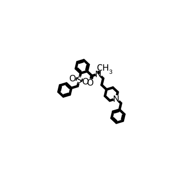 CN(CCC1CCN(Cc2ccccc2)CC1)C(=O)c1ccccc1S(=O)(=O)Cc1ccccc1